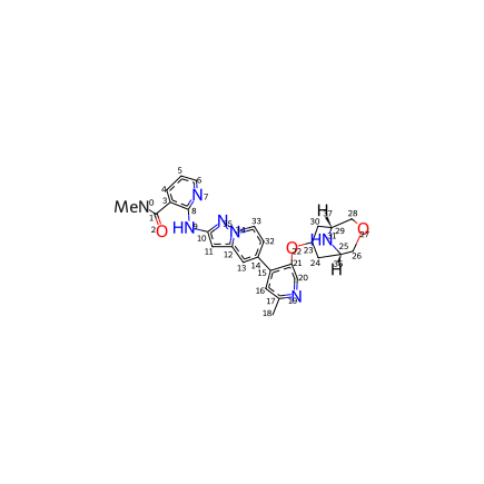 CNC(=O)c1cccnc1Nc1cc2cc(-c3cc(C)ncc3OC3C[C@H]4COC[C@@H](C3)N4)ccn2n1